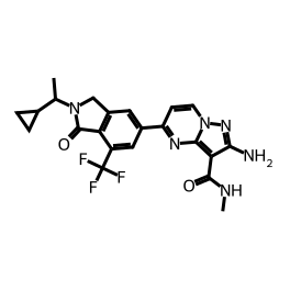 CNC(=O)c1c(N)nn2ccc(-c3cc4c(c(C(F)(F)F)c3)C(=O)N(C(C)C3CC3)C4)nc12